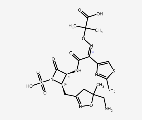 CC1(CN)CC(C[C@@H]2[C@H](NC(=O)/C(=N\OC(C)(C)C(=O)O)c3csc(N)n3)C(=O)N2S(=O)(=O)O)=NO1